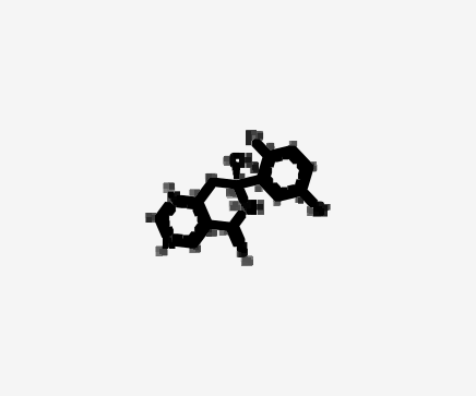 C[C@@]1(c2cc(Br)ccc2F)Cc2ncncc2C(=S)N1